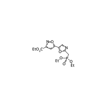 CCOC(=O)c1cc(-c2cnc(CP(=O)(OCC)OCC)o2)on1